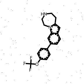 FC(F)(F)Oc1ccc(-c2ccc3cc4n(c3c2)CCNCC4)cc1